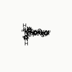 CPn1nc(N[C@@H]2CCCNC2)c2c(Oc3ccc(C(=O)Nc4nc5c(s4)CCN(C)C5)cc3)ccnc21